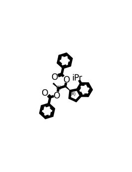 CC(C)c1cccc2c1[C@H](C(OC(=O)c1ccccc1)[C@H](C)OC(=O)c1ccccc1)CC2